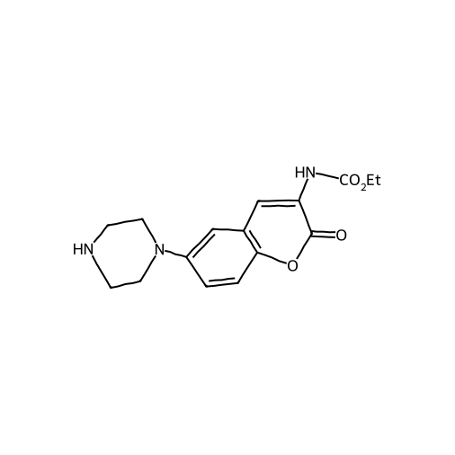 CCOC(=O)Nc1cc2cc(N3CCNCC3)ccc2oc1=O